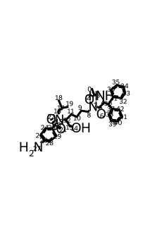 CC(=O)N[C@H](C(=O)NCCCCC(CO)N(CC(C)C)S(=O)(=O)c1ccc(N)cc1)C(c1ccccc1)c1ccccc1